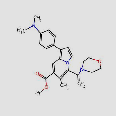 C=C(c1c(C)c(C(=O)OC(C)C)cc2c(-c3ccc(N(C)C)cc3)ccn12)N1CCOCC1